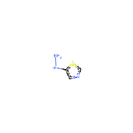 NNc1cncs1